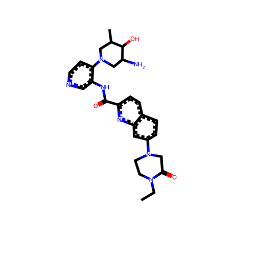 CCN1CCN(c2ccc3ccc(C(=O)Nc4cnccc4N4CC(C)C(O)C(N)C4)nc3c2)CC1=O